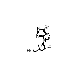 OC[C@@H]1C[C@@H](F)[C@H](n2cnc3c(Br)ncnc32)O1